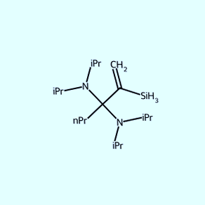 C=C([SiH3])C(CCC)(N(C(C)C)C(C)C)N(C(C)C)C(C)C